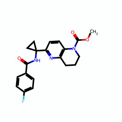 COC(=O)N1CCCc2nc(C3(NC(=O)c4ccc(F)cc4)CC3)ccc21